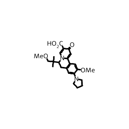 COCC(C)(C)C1Cc2cc(N3CCCC3)c(OC)cc2-c2cc(=O)c(C(=O)O)cn21